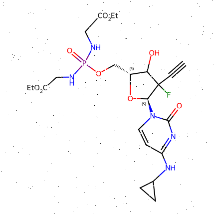 C#CC1(F)C(O)[C@@H](COP(=O)(NCC(=O)OCC)NCC(=O)OCC)O[C@@H]1n1ccc(NC2CC2)nc1=O